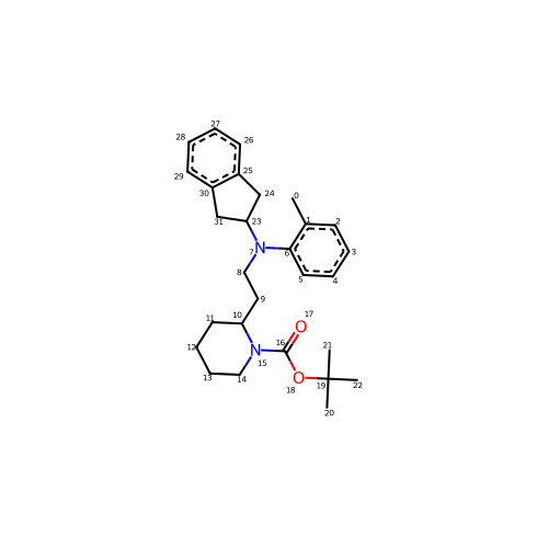 Cc1ccccc1N(CCC1CCCCN1C(=O)OC(C)(C)C)C1Cc2ccccc2C1